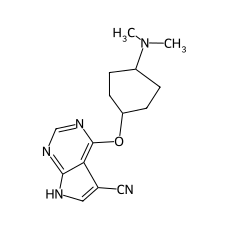 CN(C)C1CCC(Oc2ncnc3[nH]cc(C#N)c23)CC1